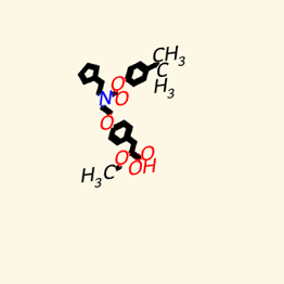 CCOC(Cc1ccc(OCCN(CCC2CCCC2)C(=O)Oc2ccc(C(C)C)cc2)cc1)C(=O)O